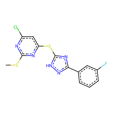 CSc1nc(Cl)cc(Sc2nc(-c3cccc(F)c3)n[nH]2)n1